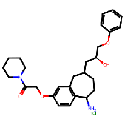 Cl.NC1CCC(C[C@H](O)COc2ccccc2)Cc2cc(OCC(=O)N3CCCCC3)ccc21